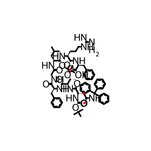 CC(C)C[C@H](NC(=O)CNC(=O)[C@H](Cc1ccccc1)NC(=O)[C@@H](NC(=O)[C@H](CC(=O)NC(c1ccccc1)(c1ccccc1)c1ccccc1)NC(=O)OC(C)(C)C)[C@@H](C)OC(C)(C)C)C(=O)N[C@@H](CCCNC(=N)N)C(=O)N[C@@H](Cc1ccccc1)C(=O)O